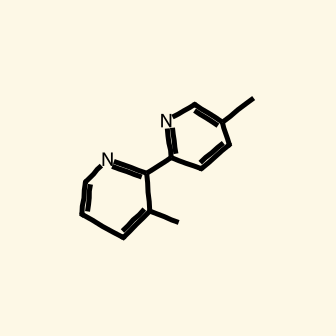 Cc1ccc(-c2ncccc2C)nc1